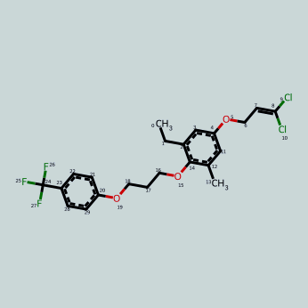 CCc1cc(OCC=C(Cl)Cl)cc(C)c1OCCCOc1ccc(C(F)(F)F)cc1